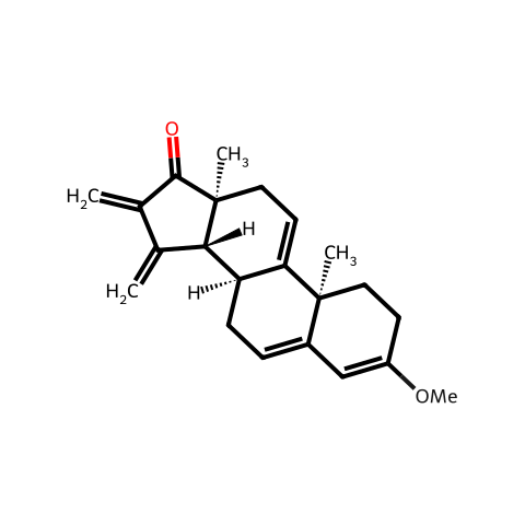 C=C1C(=C)[C@H]2[C@@H]3CC=C4C=C(OC)CC[C@]4(C)C3=CC[C@]2(C)C1=O